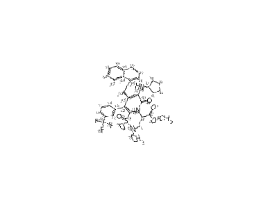 COC(=O)C1CN(C)S(=O)(=O)c2c(-c3cccc(C(F)(F)F)c3)c(Cc3cccc4ccccc34)c(NC3CCCC3)c(=O)n21